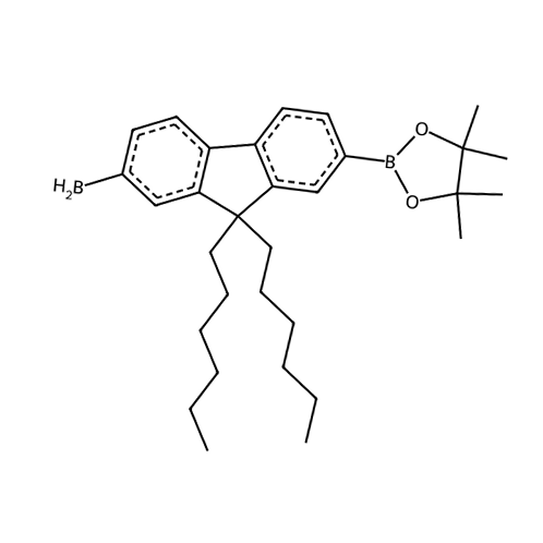 Bc1ccc2c(c1)C(CCCCCC)(CCCCCC)c1cc(B3OC(C)(C)C(C)(C)O3)ccc1-2